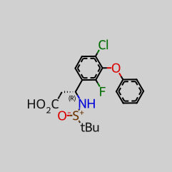 CC(C)(C)[S+]([O-])N[C@H](CC(=O)O)c1ccc(Cl)c(Oc2ccccc2)c1F